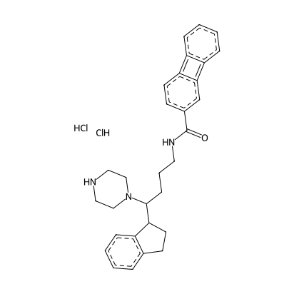 Cl.Cl.O=C(NCCCC(C1CCc2ccccc21)N1CCNCC1)c1ccc2c(c1)=c1ccccc1=2